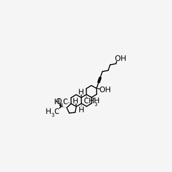 CC(=O)[C@H]1CC[C@H]2[C@@H]3CC[C@@H]4C[C@@](O)(C#CCCCCO)CC[C@]4(C)[C@H]3CC[C@]12C